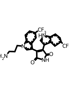 NCCCn1cc(C2=C(c3c[nH]c4ccc(C(F)(F)F)cc34)C(=O)NC2=O)c2cc(C(F)(F)F)ccc21